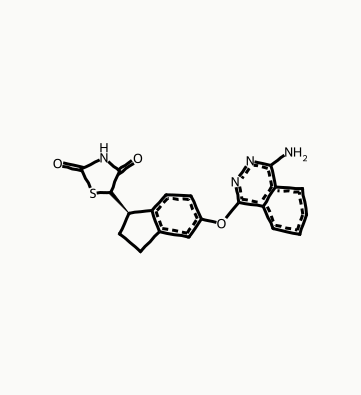 Nc1nnc(Oc2ccc3c(c2)CC[C@H]3C2SC(=O)NC2=O)c2ccccc12